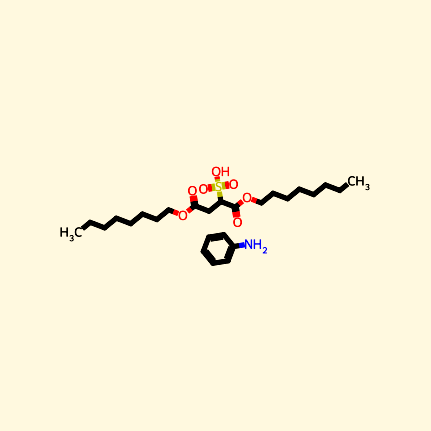 CCCCCCCCOC(=O)CC(C(=O)OCCCCCCCC)S(=O)(=O)O.Nc1ccccc1